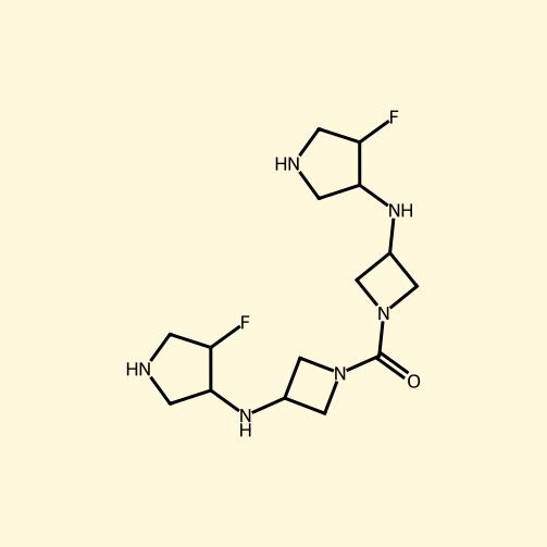 O=C(N1CC(NC2CNCC2F)C1)N1CC(NC2CNCC2F)C1